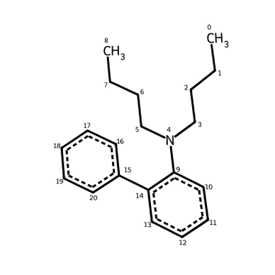 CCCCN(CCCC)c1ccccc1-c1ccccc1